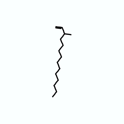 C=CC(C)CCCCCCCCCCC